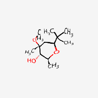 CO[C@]1(C)CC(C(C)(C)C)O[C@@H](C)[C@@H]1O